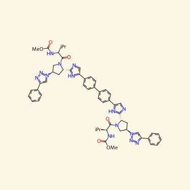 COC(=O)NC(C(=O)N1C[C@H](n2cc(-c3ccccc3)nn2)C[C@H]1c1ncc(-c2ccc(-c3ccc(-c4cnc([C@@H]5C[C@@H](n6cc(-c7ccccc7)nn6)CN5C(=O)[C@@H](NC(=O)OC)C(C)C)[nH]4)cc3)cc2)[nH]1)C(C)C